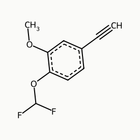 C#Cc1ccc(OC(F)F)c(OC)c1